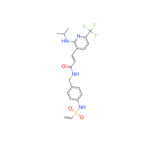 C=CS(=O)(=O)Nc1ccc(CNC(=O)/C=C/c2ccc(C(F)(F)F)nc2NC(C)C)cc1